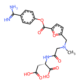 CN(CC(=O)N[C@@H](CC(=O)O)C(=O)O)Cc1ccc(C(=O)Oc2ccc(C(=N)N)cc2)o1